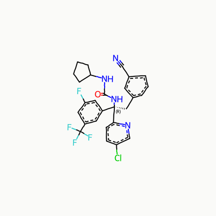 N#Cc1cccc(C[C@@](NC(=O)NC2CCCC2)(c2cc(F)cc(C(F)(F)F)c2)c2ccc(Cl)cn2)c1